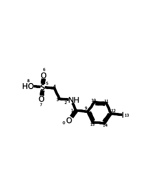 O=C(NCCS(=O)(=O)O)c1ccc(I)cc1